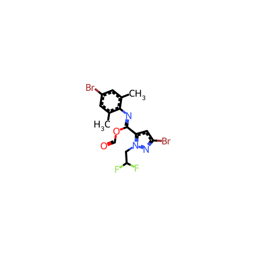 Cc1cc(Br)cc(C)c1/N=C(\OC=O)c1cc(Br)nn1CC(F)F